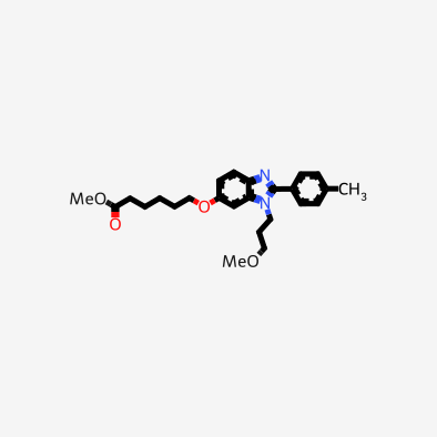 COCCCn1c(-c2ccc(C)cc2)nc2ccc(OCCCCCC(=O)OC)cc21